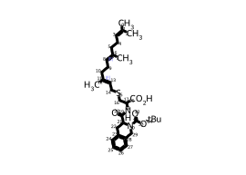 CC(C)=CCC/C(C)=C/CC/C(C)=C/CSCC(NC(=O)C1Cc2ccccc2CN1C(=O)OC(C)(C)C)C(=O)O